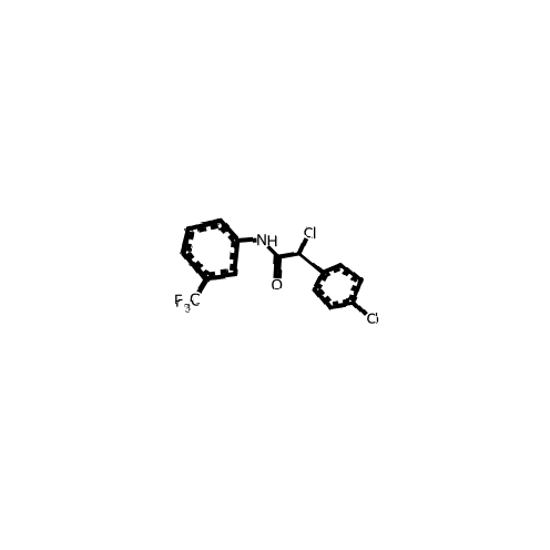 O=C(Nc1cccc(C(F)(F)F)c1)C(Cl)c1ccc(Cl)cc1